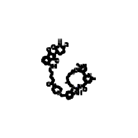 Cc1cc2cc(n1)-c1cnn(C)c1OCCC[C@@H](C)CN1/C(=N/C2=O)Nc2ccc(CN3CCN(C(=O)CCCCNc4cccc5c4C(=O)N(C4CCC(=O)NC4=O)C5=O)CC3)cc21